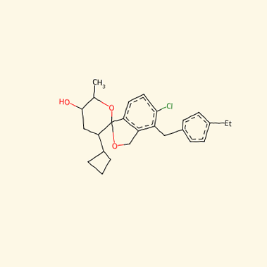 CCc1ccc(Cc2c(Cl)ccc3c2COC32OC(C)C(O)CC2C2CCC2)cc1